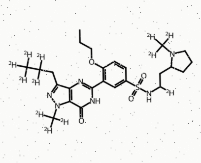 [2H]C(CC1CCCN1C([2H])([2H])[2H])NS(=O)(=O)c1ccc(OCCC)c(-c2nc3c(CC([2H])([2H])C([2H])([2H])[2H])nn(C([2H])([2H])[2H])c3c(=O)[nH]2)c1